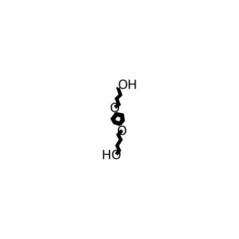 OCCCCOc1ccc(OCCCCO)cc1